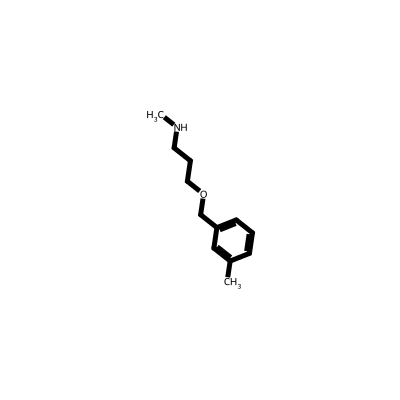 CNCCCOCc1cccc(C)c1